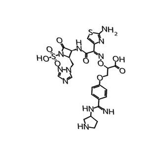 N=C(NC1CCNC1)c1ccc(OCC(O/N=C(\C(=O)N[C@@H]2C(=O)N(S(=O)(=O)O)[C@@H]2Cn2cncn2)c2csc(N)n2)C(=O)O)cc1